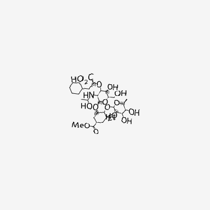 CCC1CC(C(=O)OC)C[C@@H](O[C@@H]2OC(CO)[C@H](O)C(O[C@@H](CC3CCCCC3)C(=O)O)C2NC(C)O)C1OC1O[C@@H](C)C(O)C(O)[C@@H]1O